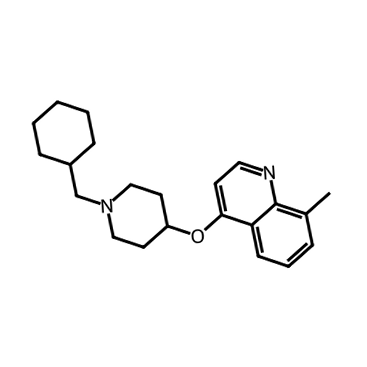 Cc1cccc2c(OC3CCN(CC4CCCCC4)CC3)ccnc12